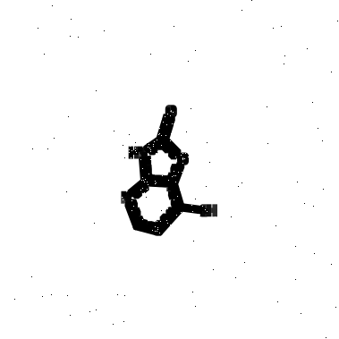 O=c1[nH]c2nccc(S)c2o1